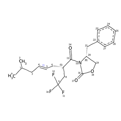 CC(C)C/C=C/C[C@@H](CC(F)(F)F)C(=O)N1C(=O)OC[C@H]1Cc1ccccc1